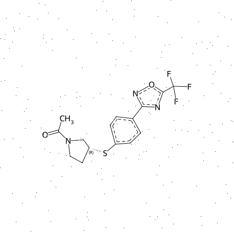 CC(=O)N1CC[C@@H](Sc2ccc(-c3noc(C(F)(F)F)n3)cc2)C1